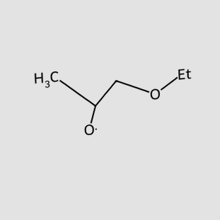 [CH2]COCC(C)[O]